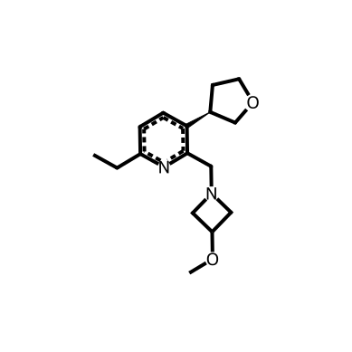 CCc1ccc([C@H]2CCOC2)c(CN2CC(OC)C2)n1